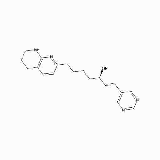 O[C@@H](/C=C/c1cncnc1)CCCCc1ccc2c(n1)NCCC2